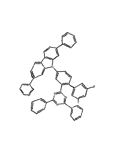 Fc1cc(F)cc(-c2ccc(-n3c4cc(-c5ccccc5)ccc4c4ccc(-c5ccccc5)cc43)cc2-c2nc(-c3ccccc3)nc(-c3ccccc3)n2)c1